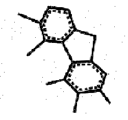 Cc1[c]c2c(c(C)c1C)-c1c(ccc(C)c1C)C2